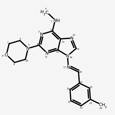 CNc1nc(N2CCOCC2)nc2c1ncn2/N=C/c1cccc(C)c1